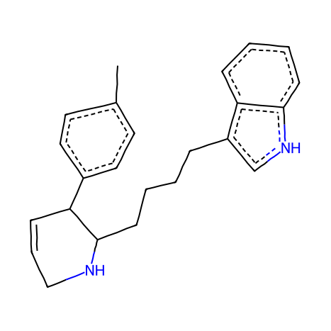 Cc1ccc(C2C=CCNC2CCCCc2c[nH]c3ccccc23)cc1